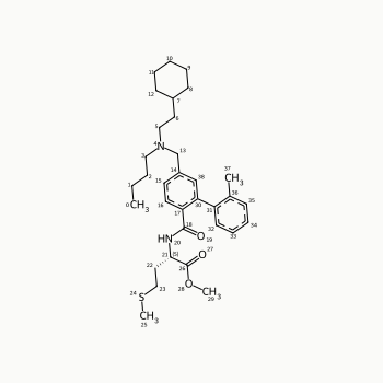 CCCCN(CCC1CCCCC1)Cc1ccc(C(=O)N[C@@H](CCSC)C(=O)OC)c(-c2ccccc2C)c1